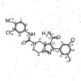 N#Cc1ccc(NC(=O)N2CCn3nc(-c4cc(F)cc(Cl)c4)c(C(N)=O)c3C2)cc1Cl